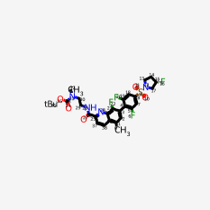 Cc1cc(-c2c(F)cc(S(=O)(=O)N3CC[C@H](F)C3)cc2F)c(F)c2nc(C(=O)NCCN(C)C(=O)OC(C)(C)C)ccc12